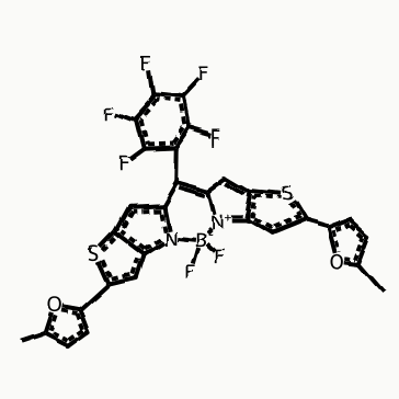 Cc1ccc(-c2cc3c(s2)=CC2=C(c4c(F)c(F)c(F)c(F)c4F)c4cc5sc(-c6ccc(C)o6)cc5n4[B-](F)(F)[N+]=32)o1